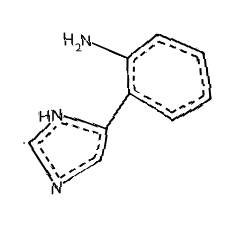 Nc1ccccc1-c1cn[c][nH]1